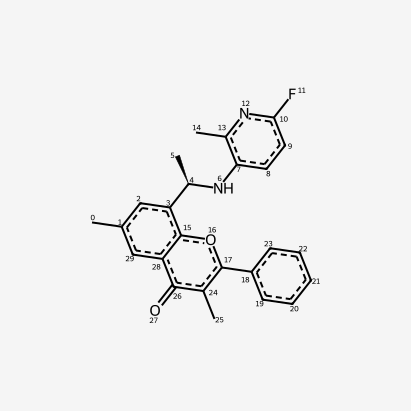 Cc1cc([C@@H](C)Nc2ccc(F)nc2C)c2oc(-c3ccccc3)c(C)c(=O)c2c1